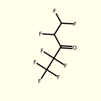 O=C(C(F)C(F)F)C(F)(F)C(F)(F)F